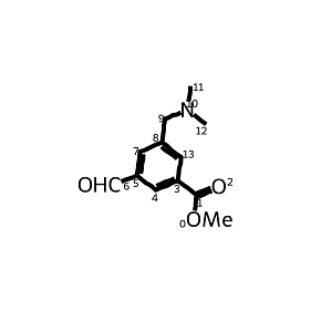 COC(=O)c1cc(C=O)cc(CN(C)C)c1